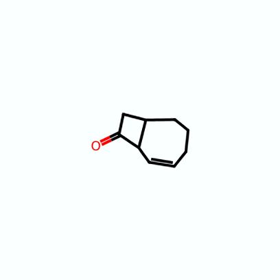 O=C1CC2CCCC=CC12